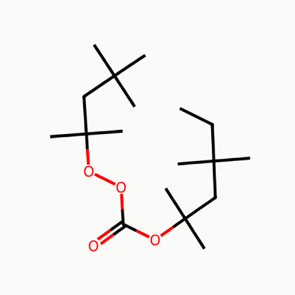 CCC(C)(C)CC(C)(C)OC(=O)OOC(C)(C)CC(C)(C)C